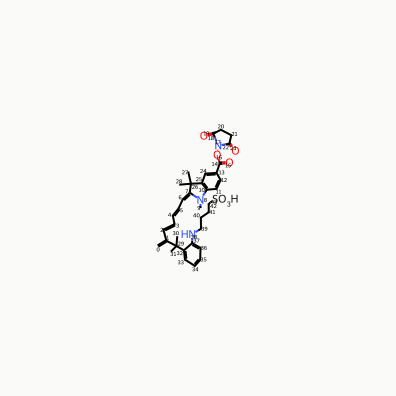 C=C(/C=C/C=C/C=C1\N(C)c2ccc(C(=O)ON3C(=O)CCC3=O)cc2C1(C)C)C(C)(C)c1ccccc1NCCCCS(=O)(=O)O